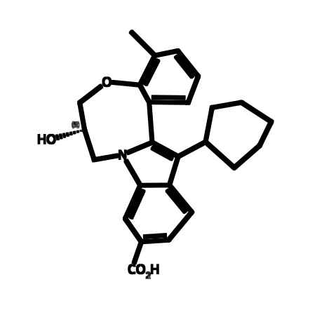 Cc1cccc2c1OC[C@@H](O)Cn1c-2c(C2CCCCC2)c2ccc(C(=O)O)cc21